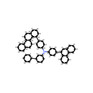 c1ccc(-c2cccc(N(c3ccc(-c4cc5ccccc5c5ccccc45)cc3)c3ccc(-c4cccc5ccc6c7ccccc7ccc6c45)cc3)c2)cc1